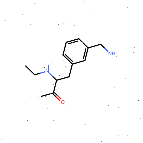 CCNC(Cc1cccc(CN)c1)C(C)=O